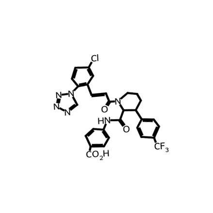 O=C(O)c1ccc(NC(=O)C2C(c3ccc(C(F)(F)F)cc3)CCCN2C(=O)C=Cc2cc(Cl)ccc2-n2cnnn2)cc1